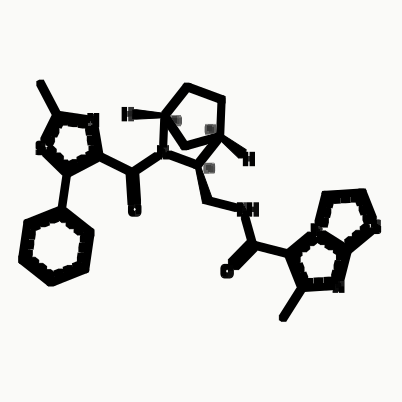 Cc1nc(C(=O)N2[C@@H]3CC[C@@H](C3)[C@H]2CNC(=O)c2c(C)nc3sccn23)c(-c2ccccc2)s1